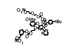 COc1ccccc1Oc1c(OCCOC(=O)Oc2cccc(CO[N+](=O)[O-])c2)nc(-c2ncccn2)nc1N(COC(=O)OCCOCCO[N+](=O)[O-])S(=O)(=O)c1ccc(C(C)(C)C)cc1